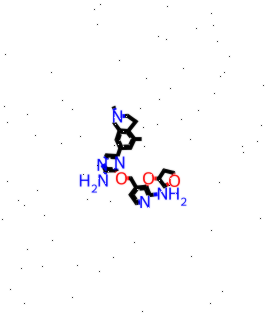 Cc1cc(-c2cnc(N)c(OCc3ccnc(N)c3OC3CCOC3)n2)cc2c1CCN(C)C2